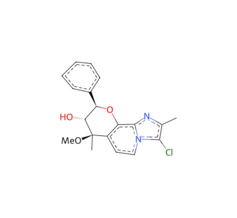 CO[C@]1(C)c2ccn3c(Cl)c(C)nc3c2O[C@H](c2ccccc2)[C@H]1O